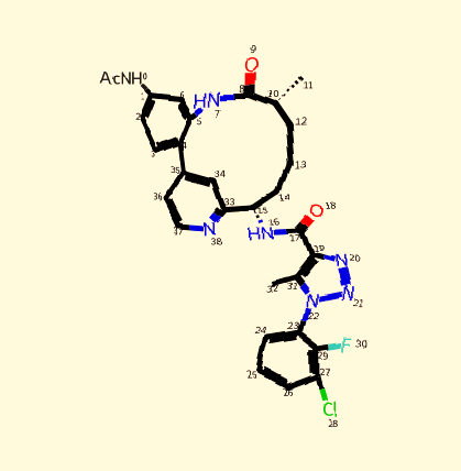 CC(=O)Nc1ccc2c(c1)NC(=O)[C@H](C)CCC[C@H](NC(=O)c1nnn(-c3cccc(Cl)c3F)c1C)c1cc-2ccn1